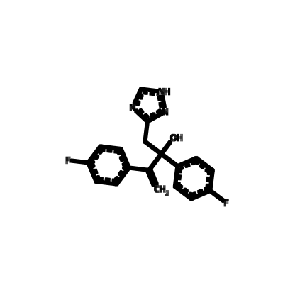 C=C(c1ccc(F)cc1)C(O)(Cc1nc[nH]n1)c1ccc(F)cc1